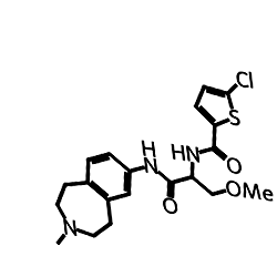 COCC(NC(=O)c1ccc(Cl)s1)C(=O)Nc1ccc2c(c1)CCN(C)CC2